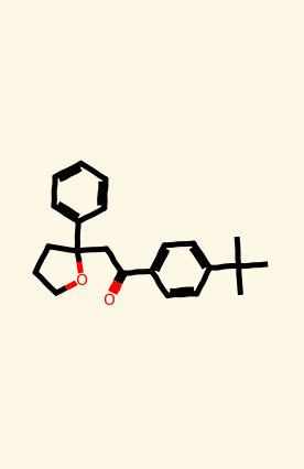 CC(C)(C)c1ccc(C(=O)CC2(c3ccccc3)CCCO2)cc1